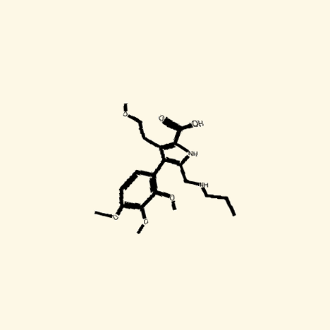 CCCNCc1[nH]c(C(=O)O)c(CCOC)c1-c1ccc(OC)c(OC)c1OC